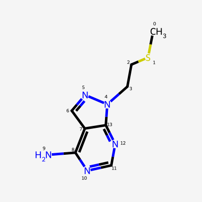 CSCCn1ncc2c(N)ncnc21